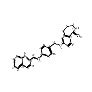 O=C1NCCCc2cc(OCc3ccc(OCc4ccc5ccccc5n4)cc3)ccc21